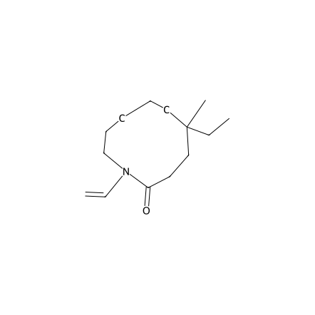 C=CN1CCCCCC(C)(CC)CCC1=O